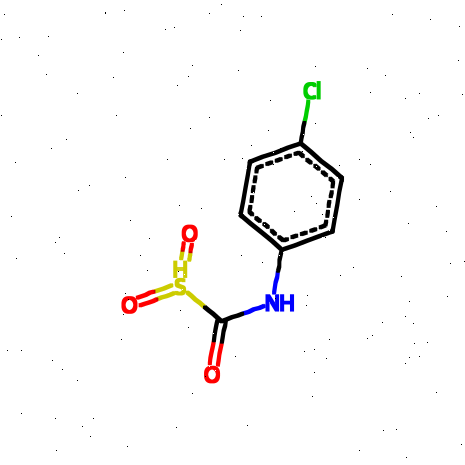 O=C(Nc1ccc(Cl)cc1)[SH](=O)=O